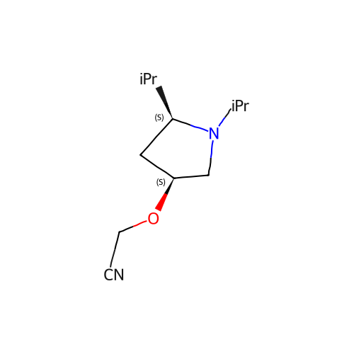 CC(C)[C@@H]1C[C@H](OCC#N)CN1C(C)C